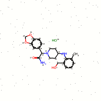 Cc1cccc(CO)c1NC1CCN(C(C(N)=O)c2ccc3c(c2)OCO3)CC1.Cl